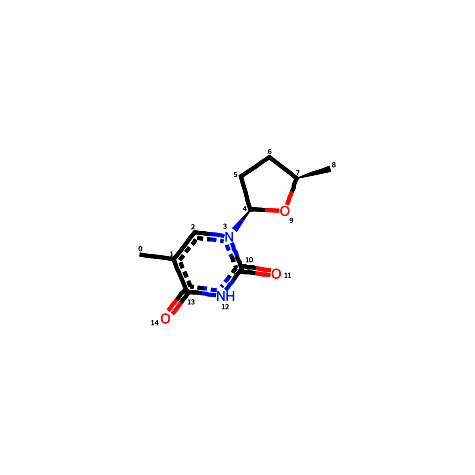 Cc1cn([C@H]2CC[C@@H](C)O2)c(=O)[nH]c1=O